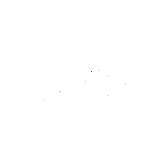 C[C@H](O)CN(CCOCc1ccccc1)Cc1ccccc1